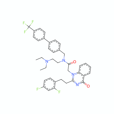 CCN(CC)CCN(Cc1ccc(-c2ccc(C(F)(F)F)cc2)cc1)C(=O)Cn1c(CCc2ccc(F)cc2F)nc(=O)c2ccccc21